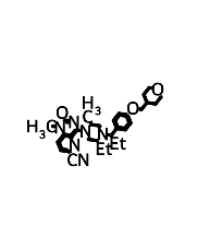 CCC(c1ccc(OCC2CCOCC2)cc1)N1C[C@H](C)N(c2nc(=O)n(C)c3ccc(C#N)nc23)C[C@H]1CC